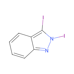 Ic1c2ccccc2nn1I